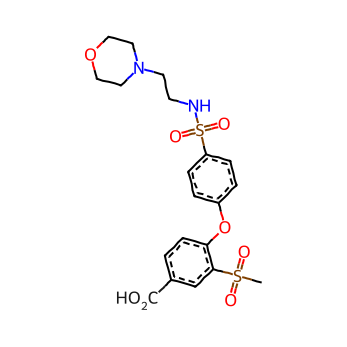 CS(=O)(=O)c1cc(C(=O)O)ccc1Oc1ccc(S(=O)(=O)NCCN2CCOCC2)cc1